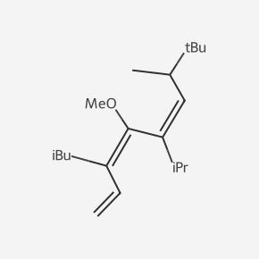 C=C/C(=C(OC)\C(=C/C(C)C(C)(C)C)C(C)C)C(C)CC